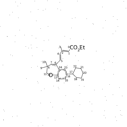 CCOC(=O)C=C(C)C=CC1=CC(C)(C)COc2ccc(C3CCCCC3)cc21